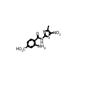 Cc1nc(NC(=O)c2ccc(C(=O)O)cc2N)sc1[N+](=O)[O-]